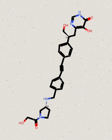 O=C(CO)N1CC[C@@H](NCc2ccc(C#Cc3ccc([C@@H](CO)Cc4nc[nH]c(=O)c4O)cc3)cc2)C1